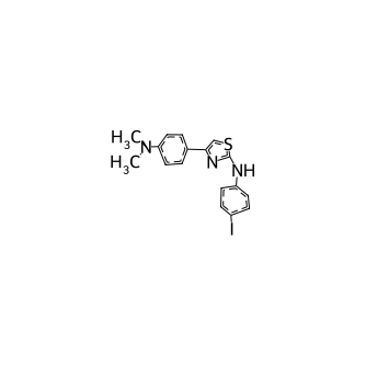 CN(C)c1ccc(-c2csc(Nc3ccc(I)cc3)n2)cc1